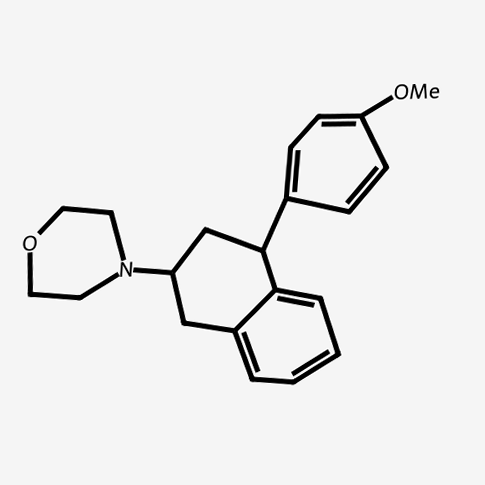 COc1ccc(C2CC(N3CCOCC3)Cc3ccccc32)cc1